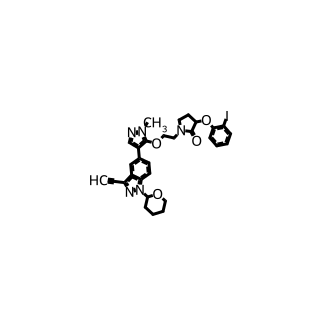 C#Cc1nn(C2CCCCO2)c2ccc(-c3cnn(C)c3OCCN3CCC(Oc4ccccc4I)C3=O)cc12